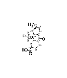 Nc1ccc(C(=O)N2CCC(C(=O)O)CC2)c(OC(F)(F)F)c1